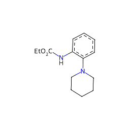 CCOC(=O)Nc1ccccc1N1CCCCC1